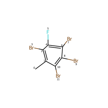 Cc1c(Br)c(F)c(Br)c(Br)c1Br